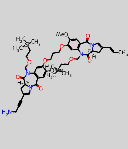 CC=CC1=CN2C(=O)c3cc(OC)c(OCCCOc4cc5c(cc4OC)C(=O)N4C=C(C#CCN)C[C@H]4C(=O)N5COCC[Si](C)(C)C)cc3N(COCC[Si](C)(C)C)C(=O)[C@@H]2C1